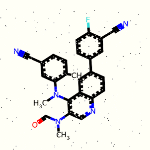 Cc1ccc(C#N)cc1N(C)c1c(N(C)C=O)cnc2ccc(-c3ccc(F)c(C#N)c3)cc12